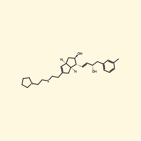 Cc1cccc(C[C@H](O)/C=C/[C@@H]2[C@H]3CC(CCSCCN4CCCC4)=C[C@H]3C[C@H]2O)c1